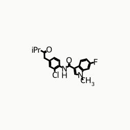 CC(C)C(=O)Cc1ccc(NC(=O)c2cn(C)c3cc(F)ccc23)c(Cl)c1